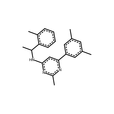 Cc1cc(C)cc(-c2cc(NC(C)c3ccccc3C)nc(C)n2)c1